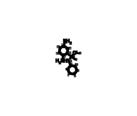 COC(C)(Nc1ccccc1)c1cc(N)ccc1N